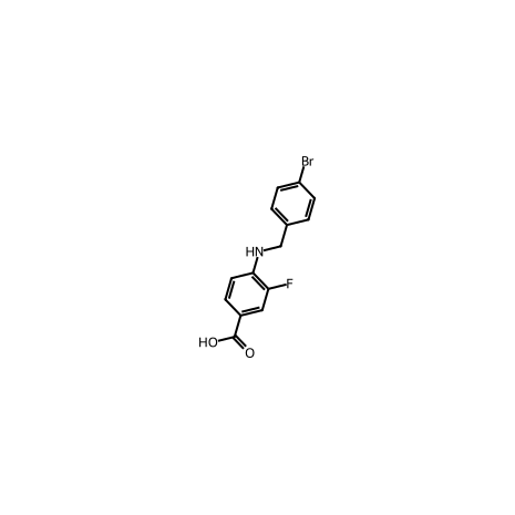 O=C(O)c1ccc(NCc2ccc(Br)cc2)c(F)c1